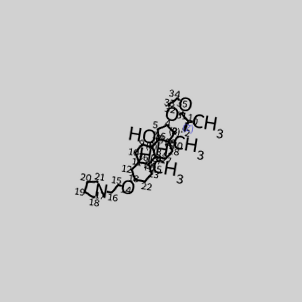 C/C(=C/[C@H]1CC[C@@]2(O)[C@@H]3CCC4CC(OCCN5CCCC5)CC[C@]4(C)[C@H]3CC[C@]12C)C1OCCO1